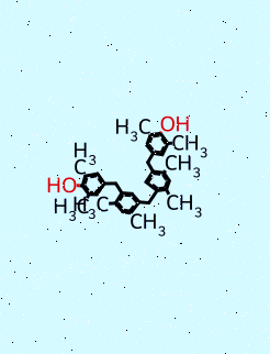 Cc1cc(C)c(Cc2cc(Cc3cc(C)c(O)c(C)c3)c(C)cc2C)cc1Cc1cc(C)c(O)c(C)c1